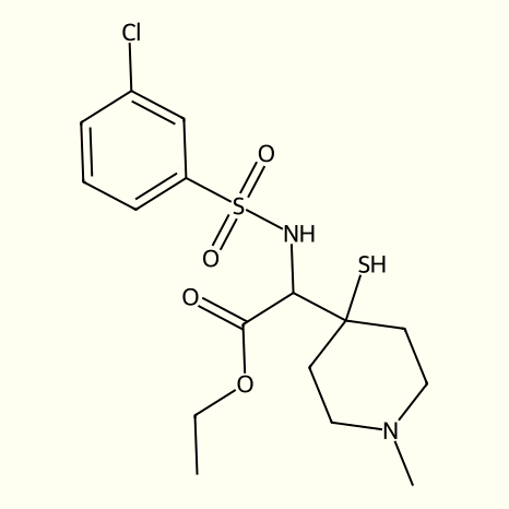 CCOC(=O)C(NS(=O)(=O)c1cccc(Cl)c1)C1(S)CCN(C)CC1